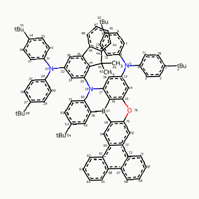 CC(C)(C)c1ccc(N(c2ccc(C(C)(C)C)cc2)c2cc3c4c(c2)N(c2cc(N(c5ccc(C(C)(C)C)cc5)c5ccc(C(C)(C)C)cc5)cc5c2C(C)(C)c2ccccc2-5)c2ccc(C(C)(C)C)cc2B4c2cc4c5ccccc5c5ccccc5c4cc2O3)cc1